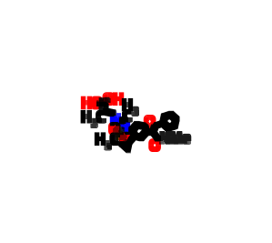 CNC(=O)c1c(-c2ccccc2)oc2cc(N(/C(C)=N/C=C(\C)B(O)O)S(C)(=O)=O)c(C3CC3)cc12